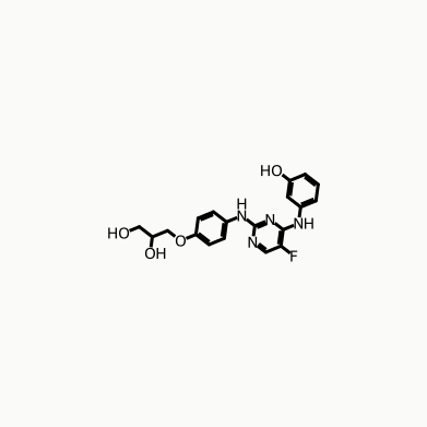 OCC(O)COc1ccc(Nc2ncc(F)c(Nc3cccc(O)c3)n2)cc1